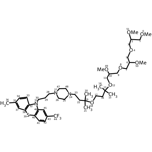 COCC(COCC(COCC(COC(C)(C)CCOC(C)(C)CCN1CCN(CCCN2c3ccc(C)cc3Sc3ccc(C(F)(F)F)cc32)CC1)OC)OC)OC